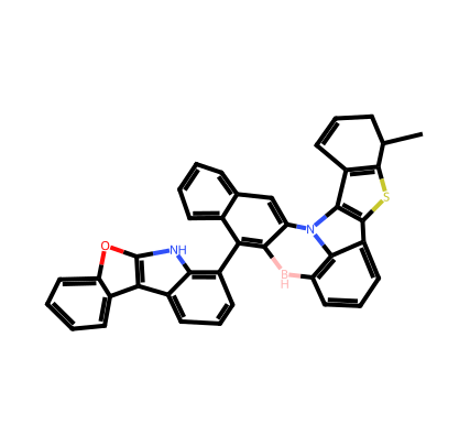 CC1CC=Cc2c1sc1c3cccc4c3n(c21)-c1cc2ccccc2c(-c2cccc3c2[nH]c2oc5ccccc5c23)c1B4